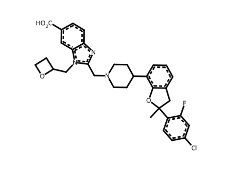 CC1(c2ccc(Cl)cc2F)Cc2cccc(C3CCN(Cc4nc5ccc(C(=O)O)cc5n4CC4CCO4)CC3)c2O1